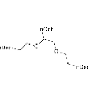 CCCCCCCCCCCCOCC(CCCCCCCC)OCCCCCCCCCCCC